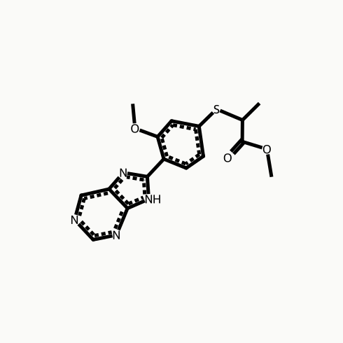 COC(=O)C(C)Sc1ccc(-c2nc3cncnc3[nH]2)c(OC)c1